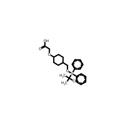 CC(C)(C)[Si](OCC1CCC(OCC(=O)O)CC1)(c1ccccc1)c1ccccc1